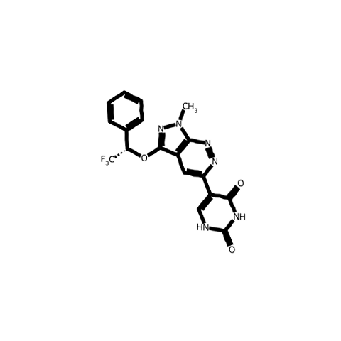 Cn1nc(O[C@@H](c2ccccc2)C(F)(F)F)c2cc(-c3c[nH]c(=O)[nH]c3=O)nnc21